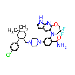 CC1(C)CCC(CN2CCN(c3ccc(C(N)=O)c(N4CC(F)(F)COc5nc6[nH]ccc6cc54)c3)CC2)=C(c2ccc(Cl)cc2)C1